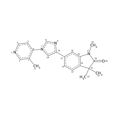 Cc1cnccc1-n1cnc(-c2ccc3c(c2)N(C)C(=O)C3(C)C)c1